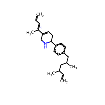 C=C/C=C(\C)C1=CCC(c2ccc(CC(C)CC(C)C=C)cc2)NC1